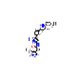 C[C@@H](CCC1CCC(c2cc(NC(=O)Cc3cnn(C)c3C(F)(F)F)n[nH]2)C1)NC(=O)O